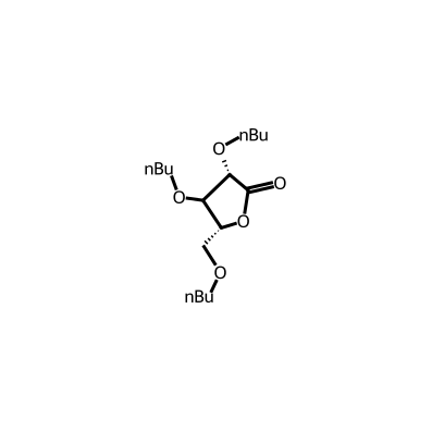 CCCCOC[C@H]1OC(=O)[C@@H](OCCCC)C1OCCCC